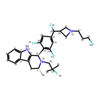 C[C@@H]1Cc2c([nH]c3ccccc23)[C@@H](c2c(F)cc(C(F)C3CN(CCCF)C3)cc2F)N1CC(C)(C)F